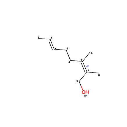 CC=CCC/C(C)=C(/C)CO